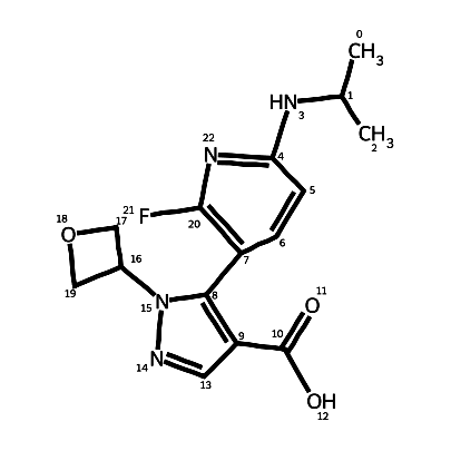 CC(C)Nc1ccc(-c2c(C(=O)O)cnn2C2COC2)c(F)n1